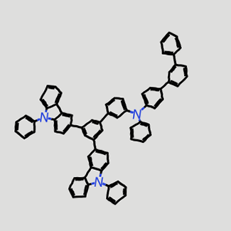 c1ccc(-c2cccc(-c3ccc(N(c4ccccc4)c4cccc(-c5cc(-c6ccc7c(c6)c6ccccc6n7-c6ccccc6)cc(-c6ccc7c(c6)c6ccccc6n7-c6ccccc6)c5)c4)cc3)c2)cc1